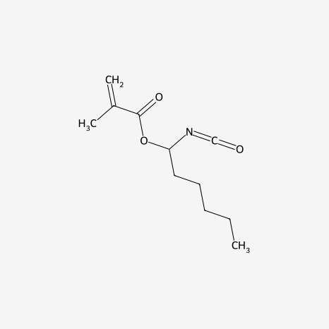 C=C(C)C(=O)OC(CCCCC)N=C=O